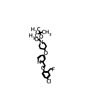 CC(C)(C)OC(=O)N1CCC(Oc2ccnc(COc3ccc(Cl)cc3CF)c2)CC1